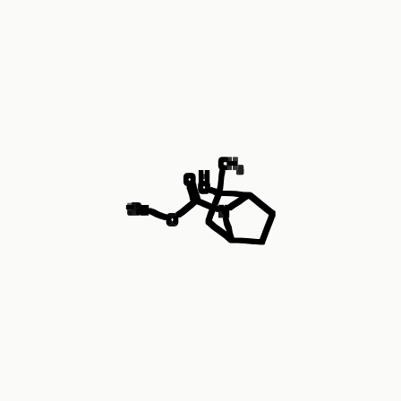 CC(C)(C)OC(=O)N1C2CCC1C(C)(O)C2